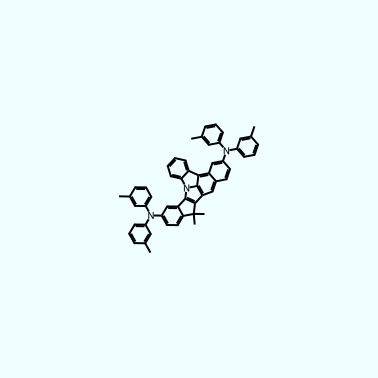 Cc1cccc(N(c2cccc(C)c2)c2ccc3c(c2)-c2c(c4cc5ccc(N(c6cccc(C)c6)c6cccc(C)c6)cc5c5c6ccccc6n2c45)C3(C)C)c1